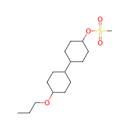 CCCOC1CCC(C2CCC(OS(C)(=O)=O)CC2)CC1